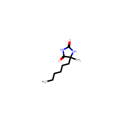 CCCCCCC1(C)NC(=O)NC1=O